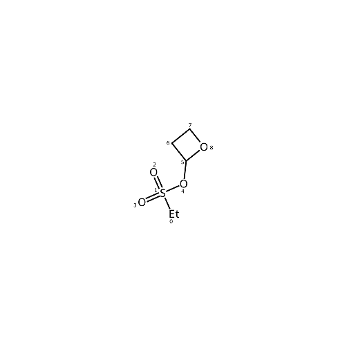 CCS(=O)(=O)OC1CCO1